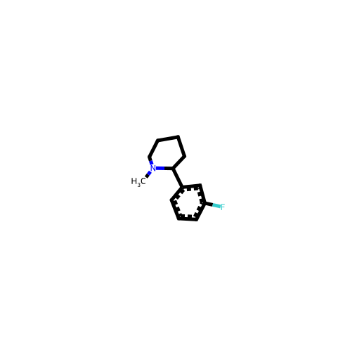 CN1CCCCC1c1cccc(F)c1